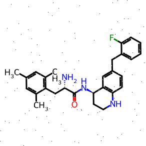 Cc1cc(C)c(C[C@H](N)C(=O)N[C@@H]2CCNc3ccc(Cc4ccccc4F)cc32)c(C)c1